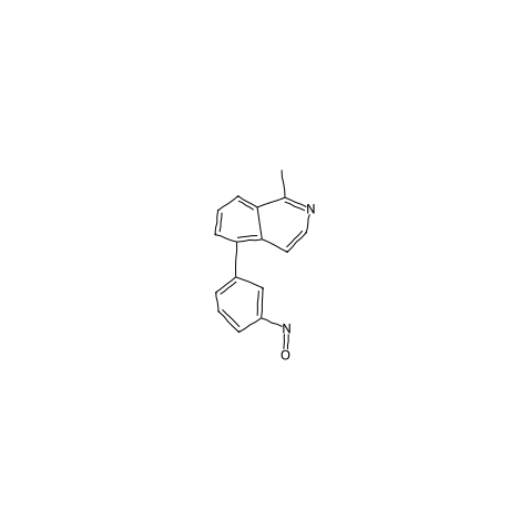 Cc1nccc2c(-c3cccc(N=O)c3)cccc12